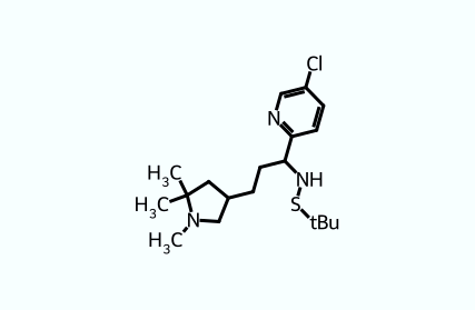 CN1CC(CCC(NSC(C)(C)C)c2ccc(Cl)cn2)CC1(C)C